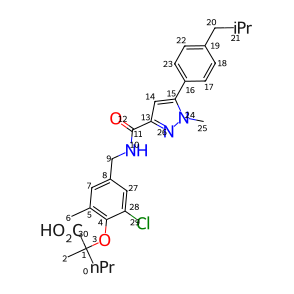 CCCC(C)(Oc1c(C)cc(CNC(=O)c2cc(-c3ccc(CC(C)C)cc3)n(C)n2)cc1Cl)C(=O)O